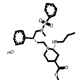 CCCN[C@@H]1CC(C(=O)OC)CCN1CC[C@@H](CN(C)S(=O)(=O)c1ccccc1)c1ccccc1.Cl